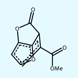 COC(=O)c1c2c3oc1cc3OC2=O